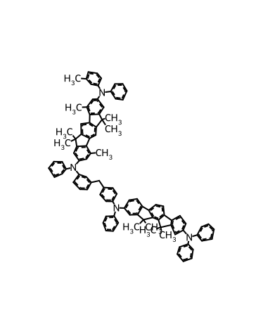 Cc1cccc(N(c2ccccc2)c2cc(C)c3c(c2)C(C)(C)c2cc4c(cc2-3)C(C)(C)c2cc(N(c3ccccc3)c3cccc(Cc5ccc(N(c6ccccc6)c6ccc7c(c6)C(C)(C)c6c-7ccc7c6C(C)(C)c6cc(N(c8ccccc8)c8ccccc8)ccc6-7)cc5)c3)cc(C)c2-4)c1